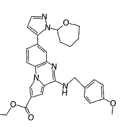 CCOC(=O)c1cc2c(NCc3ccc(OC)cc3)nc3cc(-c4ccnn4C4CCCCO4)ccc3n2c1